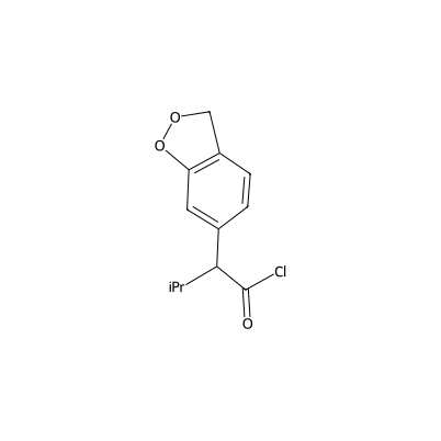 CC(C)C(C(=O)Cl)c1ccc2c(c1)OOC2